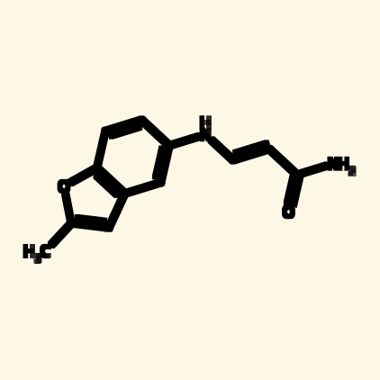 Cc1cc2cc(NC=CC(N)=O)ccc2o1